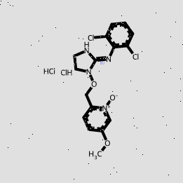 COc1ccc(CON2CCN/C2=N\c2c(Cl)cccc2Cl)[n+]([O-])c1.Cl.Cl